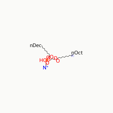 CCCCCCCC/C=C\CCCCCCCC(=O)OCC(COP(O)OCC[N+](C)(C)C)OC(=O)CCCCCCCCCCCCCCCCC